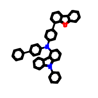 c1ccc(-c2ccc(N(c3ccc(-c4cccc5c4oc4ccccc45)cc3)c3cccc4c3c3ccccc3n4-c3ccccc3)cc2)cc1